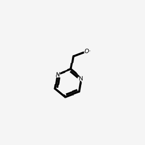 [O]Cc1ncccn1